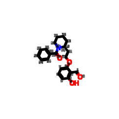 O=Cc1c(O)cccc1OCC[C@@H]1CCCCN1C(=O)c1ccccc1